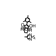 CSc1ncc(C)c([C@@H]2C[C@@H]3O[C@H]2[C@H]2C(O)=C(c4c(C)cc(C)cc4C)C(=O)[C@H]23)n1